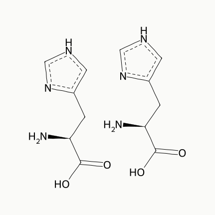 N[C@@H](Cc1c[nH]cn1)C(=O)O.N[C@@H](Cc1c[nH]cn1)C(=O)O